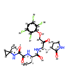 CC(C)C[C@H](NC(=O)C(=O)NC1(C)CC1)C(=O)N[C@@H](C[C@@H]1CCNC1=O)C(=O)COc1c(F)c(F)cc(F)c1F